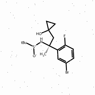 CC(C)(C)[S+]([O-])N[C@@](C)(CC1(O)CC1)c1cc(Br)ccc1F